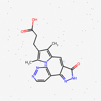 Cc1[nH]c(/C=C2/C(=O)NN=C2c2ccnnc2)c(C)c1CCC(=O)O